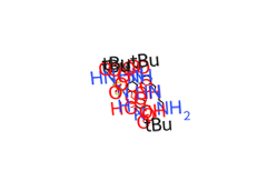 CN(C(=O)OC(C)(C)C)[C@@H]1[C@@H](O)[C@@H](O[C@@H]2[C@@H](O)[C@H](C3OC(CNCCCN)=CC[C@H]3NC(=O)OC(C)(C)C)C(NC(=O)OC(C)(C)C)C[C@H]2NS(=O)(=O)CCNC(=O)OC(C)(C)C)OC[C@]1(C)O